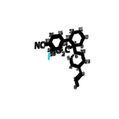 C/C=C/[C@H]1CC[C@H]([C@@]2(C(=O)O)CCCCC2c2ccc(C#N)c(F)c2)CC1